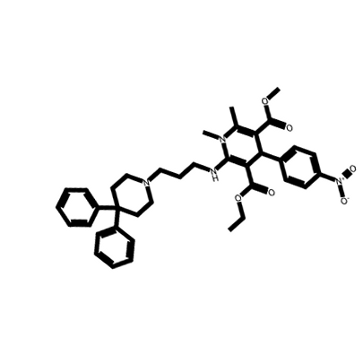 CCOC(=O)C1=C(NCCCN2CCC(c3ccccc3)(c3ccccc3)CC2)N(C)C(C)=C(C(=O)OC)C1c1ccc([N+](=O)[O-])cc1